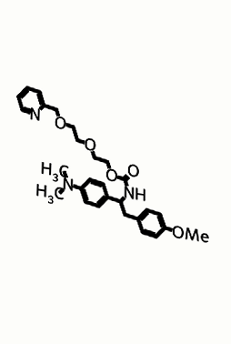 COc1ccc(CC(NC(=O)OCCOCCOCc2ccccn2)c2ccc(N(C)C)cc2)cc1